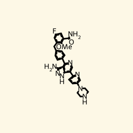 COc1c(Cc2ccc(-c3ncc(-c4ccc(N5CCNCC5)cn4)c4[nH]nc(N)c34)cc2)cc(F)cc1C(N)=O